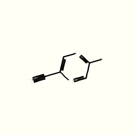 [2H]c1cnc(C#N)cn1